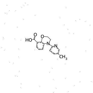 Cc1ccc(N2CCOc3c(C(=O)O)cccc32)nc1